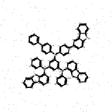 c1ccc(-c2ccc(N(c3ccc(-c4ccc5oc6ccccc6c5c4)cc3)c3cc(N(c4ccccc4)c4cccc5c4sc4ccccc45)cc(N(c4ccccc4)c4cccc5c4sc4ccccc45)c3)cc2)cc1